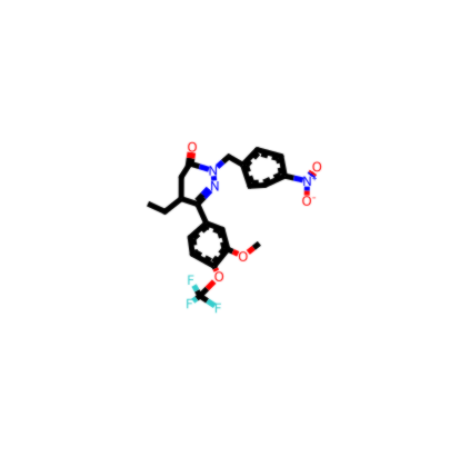 CCC1CC(=O)N(Cc2ccc([N+](=O)[O-])cc2)N=C1c1ccc(OC(F)(F)F)c(OC)c1